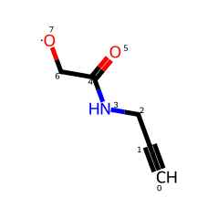 C#CCNC(=O)C[O]